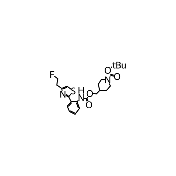 CC(C)(C)OC(=O)N1CCC(COC(=O)Nc2ccccc2-c2nc(CCF)cs2)CC1